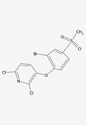 CS(=O)(=O)c1ccc(Oc2ccc(Cl)nc2Cl)c(Br)c1